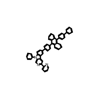 c1ccc(-c2ccc(-c3c4ccccc4c(-c4ccc(-c5ccc6c(c5)c5cc(-c7ccccn7)ncc5n6-c5ccccc5)cc4)c4ccccc34)cc2)cc1